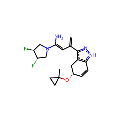 C=C(/C=C(\N)N1C[C@H](F)[C@@H](F)C1)c1n[nH]c2c1C[C@@H](OC1(C)CC1)C=C2